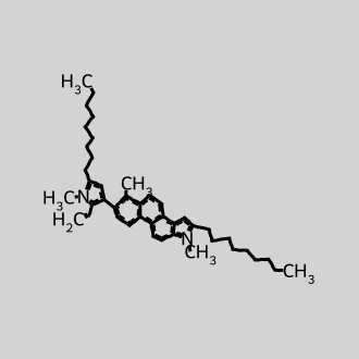 C=Cc1c(-c2ccc3c(ccc4c3ccc3c4cc(CCCCCCCCC)n3C)c2C)cc(CCCCCCCCC)n1C